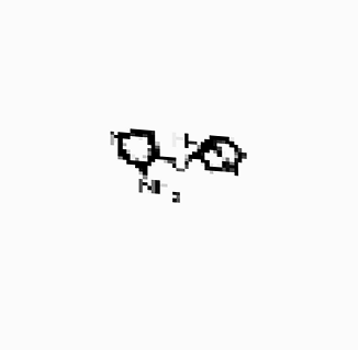 Nc1cnccc1O[C@@H]1CN2CCC1CC2